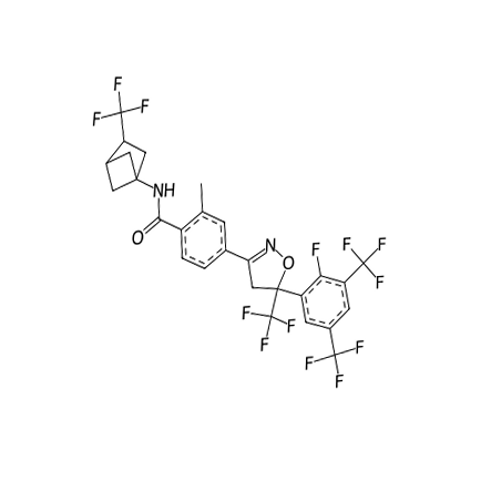 Cc1cc(C2=NOC(c3cc(C(F)(F)F)cc(C(F)(F)F)c3F)(C(F)(F)F)C2)ccc1C(=O)NC12CC(C1)C(C(F)(F)F)C2